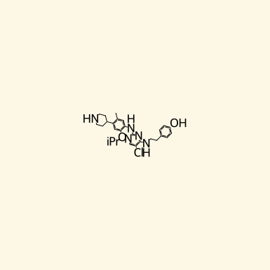 Cc1cc(Nc2ncc(Cl)c(NCCc3ccc(O)cc3)n2)c(OC(C)C)cc1C1CCNCC1